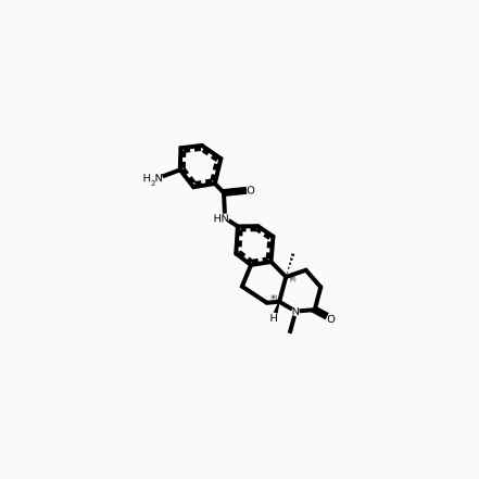 CN1C(=O)CC[C@]2(C)c3ccc(NC(=O)c4cccc(N)c4)cc3CC[C@@H]12